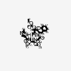 CCOC(=O)OC(C)(CI)C(=O)C(Cc1ccccc1)NC(=O)[C@H](COC)NC(=O)[C@H](COC)NC(=O)c1cnc(C)s1